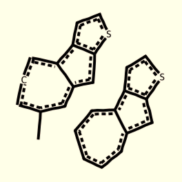 Cc1cccc2c3ccsc3cc-2c1.c1ccc2cc3sccc3c-2cc1